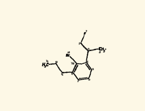 [CH2]C(CF)c1cccc(CCC)c1Br